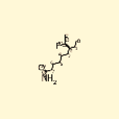 CCC(CCCCCC(N)=O)=C(F)F